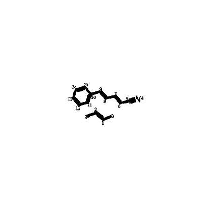 CC=CC.N#CC=CC=Cc1ccccc1